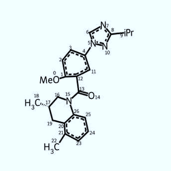 COc1ccc(-n2cnc(C(C)C)n2)cc1C(=O)N1C[C@@H](C)Cc2c(C)cccc21